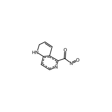 O=NC(=O)c1nccc2c1C=CCN2